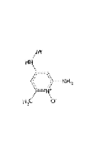 Cc1cc(NC(C)C)cc(N)[n+]1[O-]